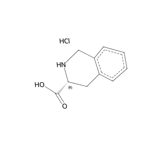 Cl.O=C(O)[C@H]1Cc2ccccc2CN1